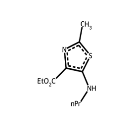 CCCNc1sc(C)nc1C(=O)OCC